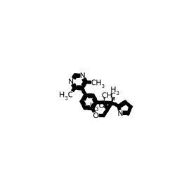 Cc1ncnc(C)c1-c1ccc2c(c1)[C@]1(C)[C@](C)(CO2)[C@@]1(C)C1=CCC=N1